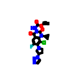 CC(C)(C)OC(=O)Nn1c(=O)c2cc(F)c(N3CCC(n4ccnn4)C3)c(Cl)c2n(C2CC2)c1=O